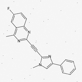 Cc1nc(C#Cc2nc(-c3ccccc3)cn2C)nc2ccc(F)cc12